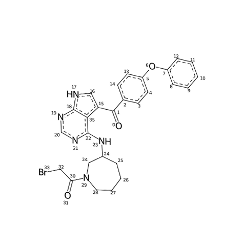 O=C(c1ccc(Oc2ccccc2)cc1)c1c[nH]c2ncnc(NC3CCCCN(C(=O)CBr)C3)c12